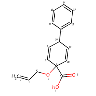 C=CCOC1(C(=O)O)C=CC(c2ccccc2)C=C1